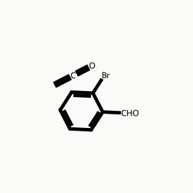 C=C=O.O=Cc1ccccc1Br